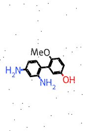 COc1ccc(O)cc1-c1ccc(N)cc1N